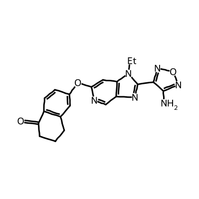 CCn1c(-c2nonc2N)nc2cnc(Oc3ccc4c(c3)CCCC4=O)cc21